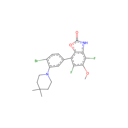 COc1c(F)c(-c2ccc(Br)c(N3CCC(C)(C)CC3)c2)c2oc(=O)[nH]c2c1F